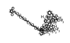 CCC(C)C(C(CC(=O)N1CCC[C@H]1C(OC)C(C)C(=O)NC(Cc1ccccc1)C(=O)OC(C)(C)C)OC)N(C)C(=O)C(NC(=O)[C@]1(C)CCCN1C(=O)CCOCCOCCOCCOCCOCCOCCN1C(=O)C=CC1=O)C(C)C